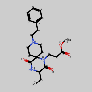 CC(C)CC1NC(=O)C2(CCN(CCc3ccccc3)CC2)N(CCC(=O)OC(C)(C)C)C1=O